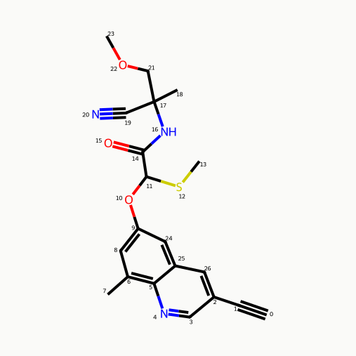 C#Cc1cnc2c(C)cc(OC(SC)C(=O)NC(C)(C#N)COC)cc2c1